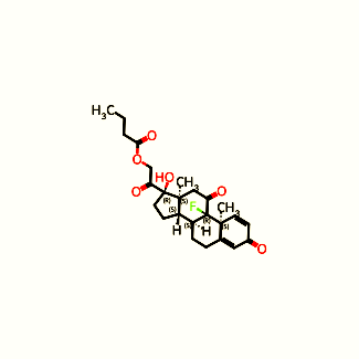 CCCC(=O)OCC(=O)[C@@]1(O)CC[C@H]2[C@@H]3CCC4=CC(=O)C=C[C@]4(C)[C@@]3(F)C(=O)C[C@@]21C